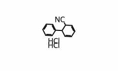 Cl.Cl.N#CC1C=CC=CC1c1ccccc1